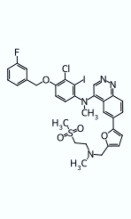 CN(CCS(C)(=O)=O)Cc1ccc(-c2ccc3nncc(N(C)c4ccc(OCc5cccc(F)c5)c(Cl)c4I)c3c2)o1